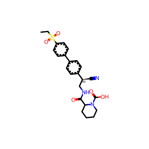 CCS(=O)(=O)c1ccc(-c2ccc([C@@H](C#N)CNC(=O)C3CCCCN3C(=O)O)cc2)cc1